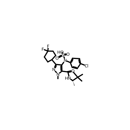 C[C@H](NC(=O)c1c(N(c2ccc(Cl)cc2)S(=O)(=O)O)c(C2CCC(F)(F)CC2)nn1C)C(C)(C)C